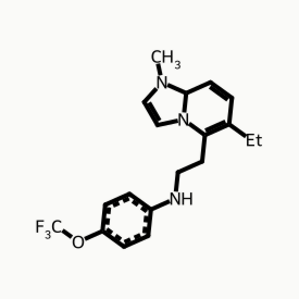 CCC1=C(CCNc2ccc(OC(F)(F)F)cc2)N2C=CN(C)C2C=C1